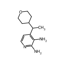 CC(c1ccnc(N)c1N)C1CCOCC1